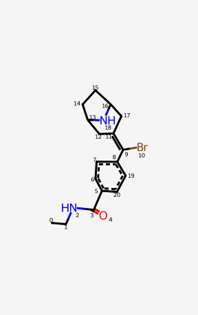 CCNC(=O)c1ccc(C(Br)=C2CC3CCC(C2)N3)cc1